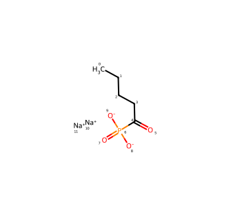 CCCCC(=O)P(=O)([O-])[O-].[Na+].[Na+]